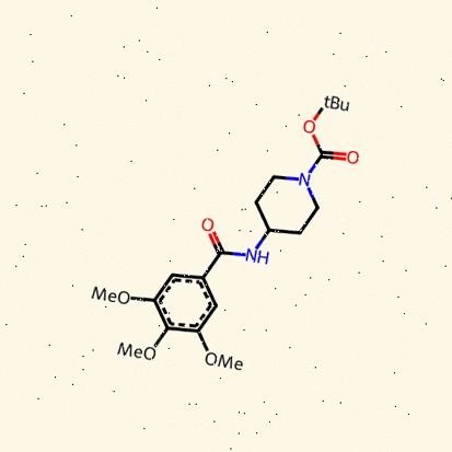 COc1cc(C(=O)NC2CCN(C(=O)OC(C)(C)C)CC2)cc(OC)c1OC